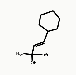 CCCC(C)(O)C=CC1CCCCC1